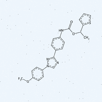 CC(OC(=O)Nc1ccc(-c2ncn(-c3ccc(OC(F)(F)F)cc3)n2)cc1)c1cccs1